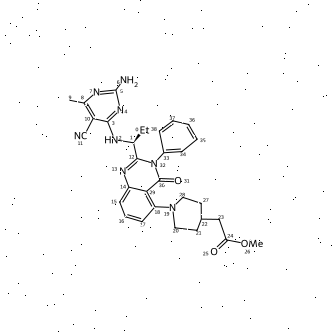 CC[C@H](Nc1nc(N)nc(C)c1C#N)c1nc2cccc(N3CCC(CC(=O)OC)CC3)c2c(=O)n1-c1ccccc1